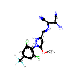 COc1cc(C=NC(C#N)=C(N)C#N)nn1-c1c(Cl)cc(C(F)(F)F)cc1Cl